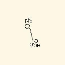 O=C(O)C(=O)CCCCCCc1cccc(C(F)(F)F)c1